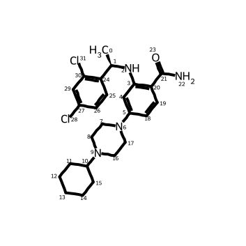 C[C@@H](Nc1cc(N2CCN(C3CCCCC3)CC2)ccc1C(N)=O)c1ccc(Cl)cc1Cl